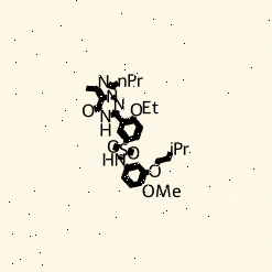 CCCc1nc(C)c2c(=O)[nH]c(-c3cc(S(=O)(=O)Nc4ccc(OC)c(OCCC(C)C)c4)ccc3OCC)nn12